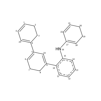 C1=CCCC(C2=CCCC(c3ccccc3NC3=CCCC=C3)=C2)=C1